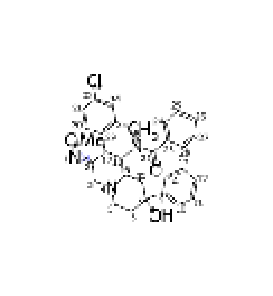 CO/N=C(/CN1CCC(O)(c2ccccc2)CC1)C(CN(C)C(=O)c1ccccc1)c1ccc(Cl)cc1